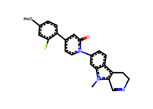 COc1ccc(-c2ccn(-c3ccc4c5c(n(C)c4c3)C=NCC5)c(=O)c2)c(F)c1